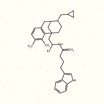 C=C(CCCc1c[nH]c2ccccc12)NC(CC)CC12CCN(CC3CC3)C(Cc3ccc(C)c(C)c31)C2